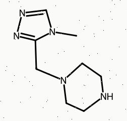 Cn1cnnc1CN1CCNCC1